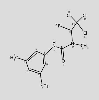 Cc1cc(C)cc(NC(=O)N(C)C(F)C(Cl)(Cl)Cl)c1